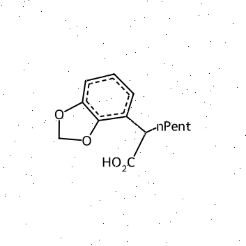 CCCCCC(C(=O)O)c1cccc2c1OCO2